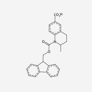 CC1CCc2cc(C(=O)O)ccc2N1C(=O)OCC1c2ccccc2-c2ccccc21